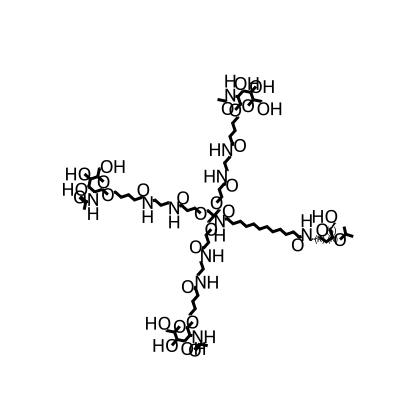 CC(=O)NC1C(OCCCCC(=O)NCCCNC(=O)CCOCC(COCCC(=O)NCCCNC(=O)CCCCOC2OC(CO)C(O)C(O)C2NC(C)=O)(COCCC(=O)NCCCNC(=O)CCCCOC2OC(CO)C(O)C(O)C2NC(C)=O)NC(=O)CCCCCCCCCCC(=O)NC[C@H]2C[C@@H](OC(C)C)[C@H](CO)O2)OC(CO)C(O)C1O